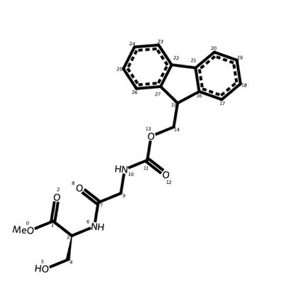 COC(=O)[C@H](CO)NC(=O)CNC(=O)OCC1c2ccccc2-c2ccccc21